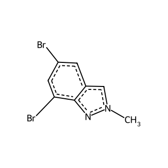 Cn1cc2cc(Br)cc(Br)c2n1